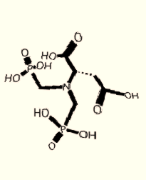 O=C(O)C[C@@H](C(=O)O)N(CP(=O)(O)O)CP(=O)(O)O